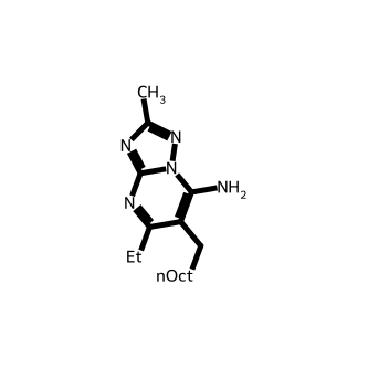 CCCCCCCCCc1c(CC)nc2nc(C)nn2c1N